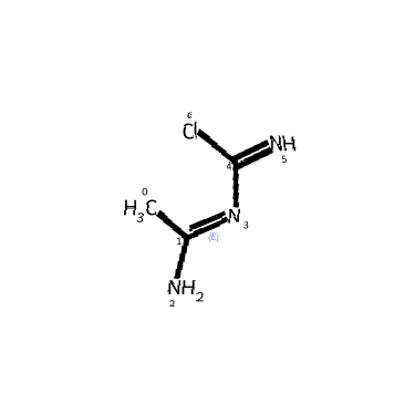 C/C(N)=N\C(=N)Cl